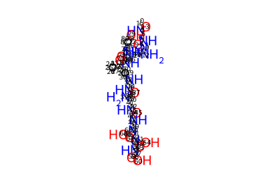 CCC(=O)NCCNC(=O)/N=C(/N)NCCC[C@@H](NC(=O)C(c1ccccc1)c1ccc(NCCNC(=O)[C@H](N)CCCNC(=O)CNCCN(CCN(CCNCC(=O)O)CC(=O)O)CC(=O)O)cc1)C(=O)NCc1ccc(O)cc1